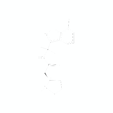 Cc1cccc2c(C(C)(C)NC(=O)C[C@H]3CCCN3C)noc12